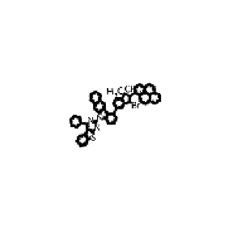 CC1(C)C(c2ccc3ccc4cccc5ccc2c3c45)=C(Br)c2cc(-c3cccc4c3c3cc5ccccc5cc3n4-c3nc(-c4ccccc4)c4c(n3)sc3ccccc34)ccc21